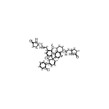 COc1nc(C2(c3cnc4c(c3)CCC[C@@H]4NC[C@H]3CCC(=O)N3)C=CC=C(c3ccccc3Cl)C2Cl)ccc1CNC[C@@H]1CCC(=O)N1